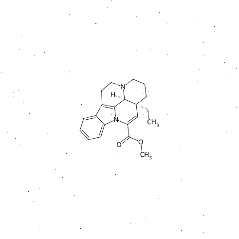 CC[C@@]12C=C(C(=O)OC)n3c4c(c5ccccc53)CCN(CCC1)[C@H]42